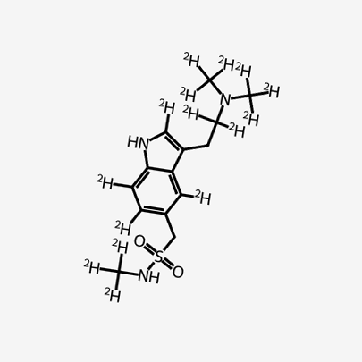 [2H]c1[nH]c2c([2H])c([2H])c(CS(=O)(=O)NC([2H])([2H])[2H])c([2H])c2c1CC([2H])([2H])N(C([2H])([2H])[2H])C([2H])([2H])[2H]